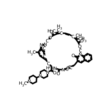 Cc1cc2cc3cn(nc13)COC(=O)C(C)(C)C/C=C\CC(C)(C)C(=O)OCn1c(=O)c(cc3ccccc31)C1CCN(CC1)C(=O)N[C@@H](C(=O)N1CCN(C3CCN(C)CC3)CC1)C2